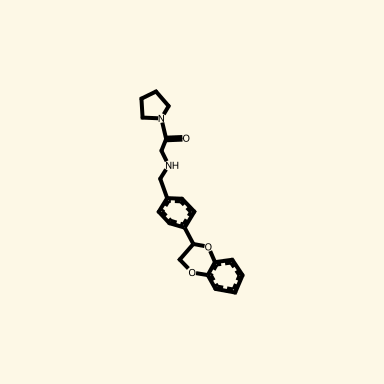 O=C(CNCc1ccc(C2COc3ccccc3O2)cc1)N1CCCC1